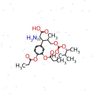 CCC(=O)Oc1ccc(C(C(C)COC(=O)OC(C)C(C)C)[C@H](N)C(=O)O)cc1OC(=O)CC